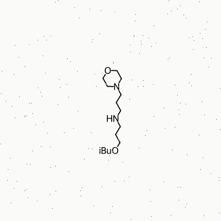 CC(C)COCCCNCCCN1CCOCC1